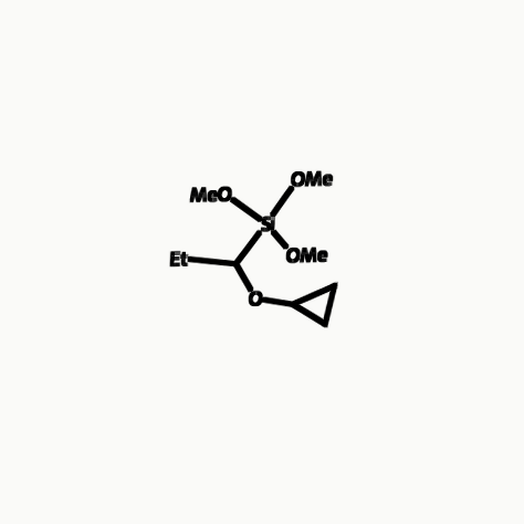 CCC(OC1CC1)[Si](OC)(OC)OC